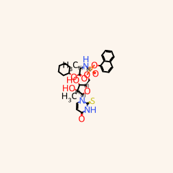 C[C@H](N[P@@](=O)(OC[C@H]1O[C@@H](n2ccc(=O)[nH]c2=S)[C@](C)(O)C1O)Oc1cccc2ccccc12)C(=O)OC1CCCCC1